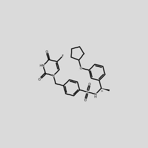 C[C@@H](NS(=O)(=O)c1ccc(Cn2cc(F)c(=O)[nH]c2=O)cc1)c1cccc(OC2CCCC2)c1